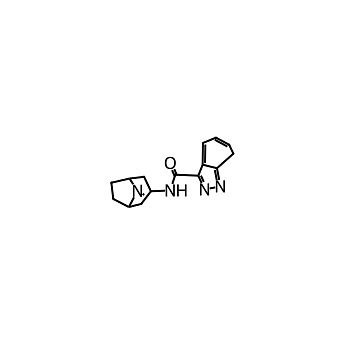 CN1C2CCC1CC(NC(=O)C1=NN=C3CC=CC=C31)C2